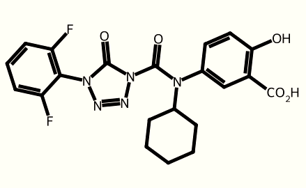 O=C(O)c1cc(N(C(=O)n2nnn(-c3c(F)cccc3F)c2=O)C2CCCCC2)ccc1O